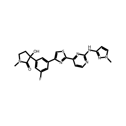 CN1CCC(O)(c2cc(F)cc(-c3csc(-c4ccnc(Nc5ccn(C)n5)n4)n3)c2)C1=O